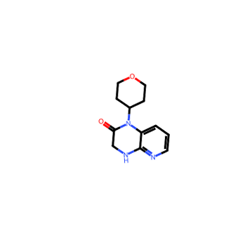 O=C1CNc2ncccc2N1C1CCOCC1